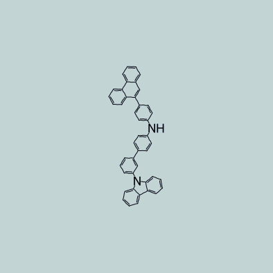 c1cc(-c2ccc(Nc3ccc(-c4cc5ccccc5c5ccccc45)cc3)cc2)cc(-n2c3ccccc3c3ccccc32)c1